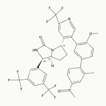 COc1ccc(-c2ccc(C(C)=O)cc2C)cc1-c1cnc(C(F)(F)F)cc1[C@@H]1CC[C@H]2[C@@H](c3cc(C(F)(F)F)cc(C(F)(F)F)c3)NC(=O)N12